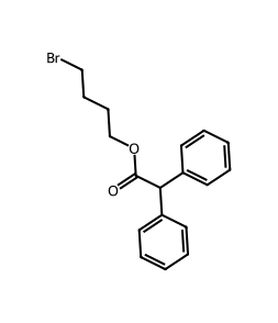 O=C(OCCCCBr)C(c1ccccc1)c1ccccc1